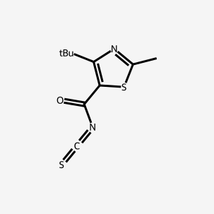 Cc1nc(C(C)(C)C)c(C(=O)N=C=S)s1